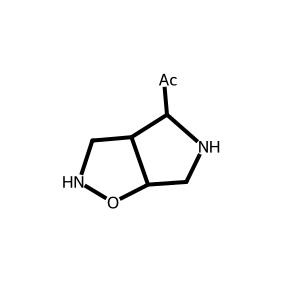 CC(=O)C1NCC2ONCC21